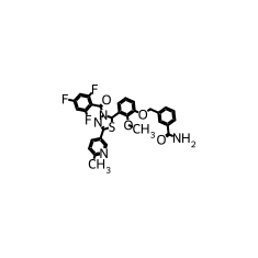 COc1c(OCc2cccc(C(N)=O)c2)cccc1C1SC(c2ccc(C)nc2)=NN1C(=O)c1c(F)cc(F)cc1F